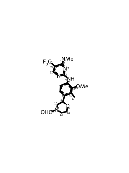 CNc1nc(Nc2ccc(C3CN(C=O)CCO3)c(C)c2OC)ncc1C(F)(F)F